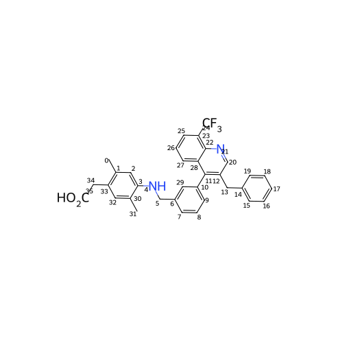 Cc1cc(NCc2cccc(-c3c(Cc4ccccc4)cnc4c(C(F)(F)F)cccc34)c2)c(C)cc1CC(=O)O